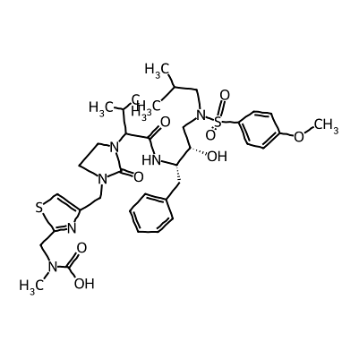 COc1ccc(S(=O)(=O)N(CC(C)C)C[C@H](O)[C@H](Cc2ccccc2)NC(=O)C(C(C)C)N2CCN(Cc3csc(CN(C)C(=O)O)n3)C2=O)cc1